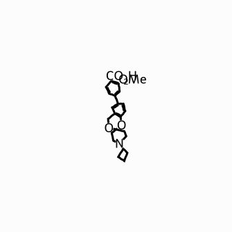 COc1cc(-c2ccc3c(c2)COC2(CCN(C4CCC4)CC2)O3)ccc1C(=O)O